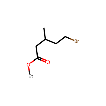 CCOC(=O)CC(C)CCBr